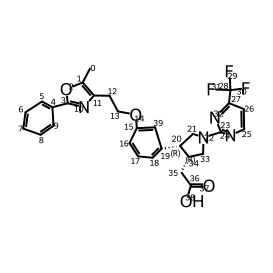 Cc1oc(-c2ccccc2)nc1CCOc1cccc([C@@H]2CN(c3nccc(C(F)(F)F)n3)C[C@@H]2CC(=O)O)c1